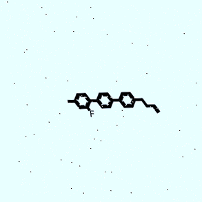 C=CCCc1ccc(-c2ccc(-c3ccc(C)cc3F)cc2)cc1